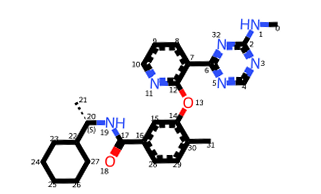 CNc1ncnc(-c2cccnc2Oc2cc(C(=O)N[C@@H](C)C3CCCCC3)ccc2C)n1